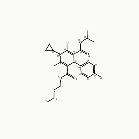 COCCOC(=O)C1=C(C)N(C2CC2)C(C)=C(C(=O)OC(C)C)C1c1ccc(C)cc1